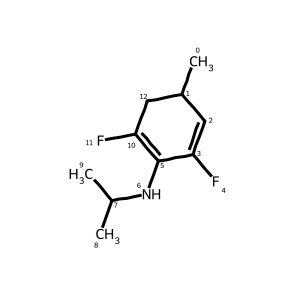 CC1C=C(F)C(NC(C)C)=C(F)C1